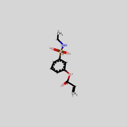 C=CC(=O)Oc1cccc(S(=O)(=O)NCC)c1